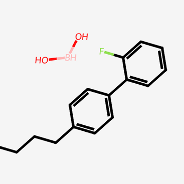 CCCCc1ccc(-c2ccccc2F)cc1.OBO